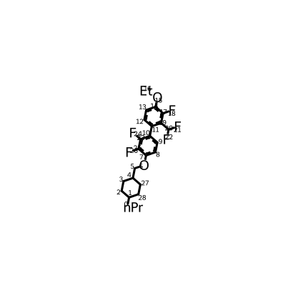 CCCC1CCC(COc2ccc(-c3ccc(OCC)c(F)c3C(F)F)c(F)c2F)CC1